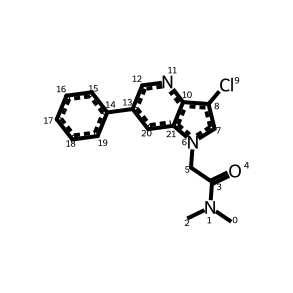 CN(C)C(=O)Cn1cc(Cl)c2ncc(-c3ccccc3)cc21